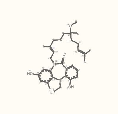 CCN1c2c(O)cccc2C(=O)N(C/C=C(\C)CCCC(C)(CCC=C(C)C)OC)c2cc(O)cc(O)c21